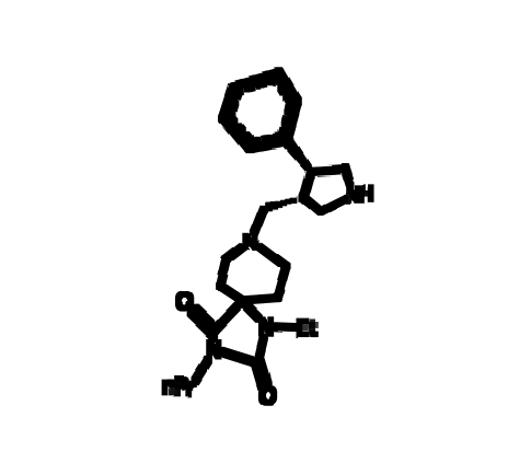 CCCN1C(=O)N(CC)C2(CCN(C[C@H]3CNC[C@@H]3c3ccccc3)CC2)C1=O